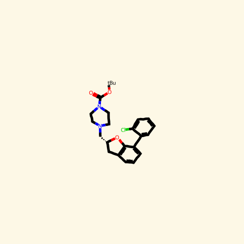 CC(C)(C)OC(=O)N1CCN(C[C@H]2Cc3cccc(-c4ccccc4Cl)c3O2)CC1